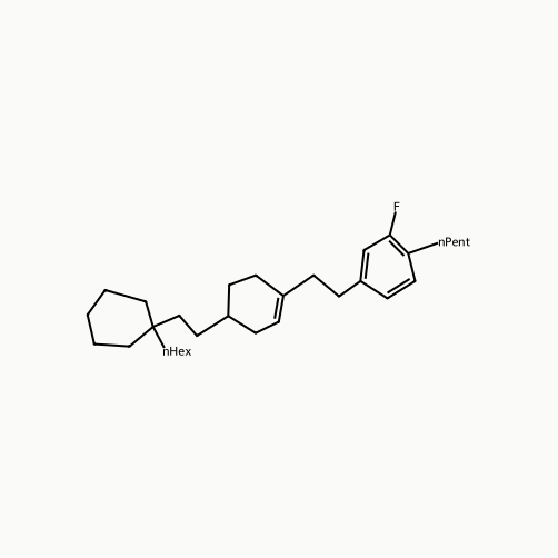 CCCCCCC1(CCC2CC=C(CCc3ccc(CCCCC)c(F)c3)CC2)CCCCC1